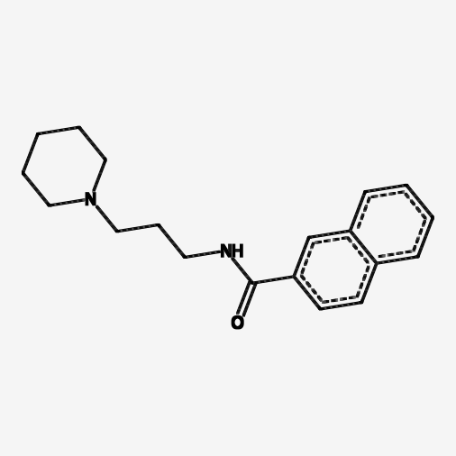 O=C(NCCCN1CCCCC1)c1ccc2ccccc2c1